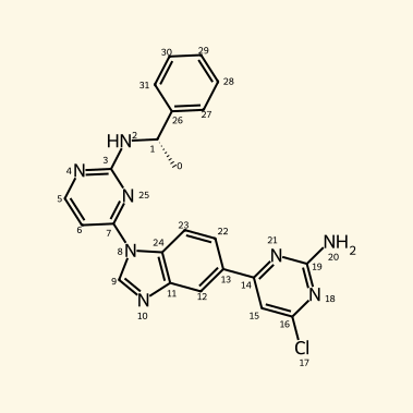 C[C@H](Nc1nccc(-n2cnc3cc(-c4cc(Cl)nc(N)n4)ccc32)n1)c1ccccc1